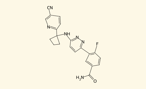 N#Cc1ccc(C2(Nc3ccc(-c4cc(C(N)=O)ccc4F)nn3)CCC2)nc1